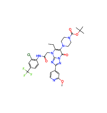 CCc1c(N2CCN(C(=O)OC(C)(C)C)CC2)c(=O)n2nc(-c3ccnc(OC)c3)nc2n1CC(=O)Nc1ccc(C(F)(F)F)cc1Cl